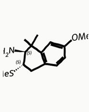 COc1ccc2c(c1)C(C)(C)[C@H](N)[C@@H](SC)C2